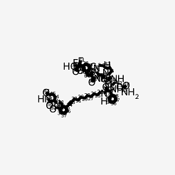 CN1CC[C@H]2CC[C@@H](C(=O)N[C@@H](COC(N)=O)C(=O)N[C@H](C(=O)NCCCCCCCCCC#Cc3cccc4c3CN(C3CCC(=O)NC3=O)C4=O)c3ccccc3)N2C(=O)[C@@H](NC(=O)c2cc3cc(C(F)(F)P(=O)(O)O)ccc3s2)C1